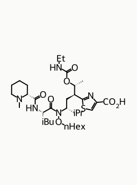 CCCCCCON(C(=O)[C@@H](NC(=O)[C@H]1CCCCN1C)[C@@H](C)CC)[C@H](C[C@H](c1nc(C(=O)O)cs1)[C@@H](C)OC(=O)NCC)C(C)C